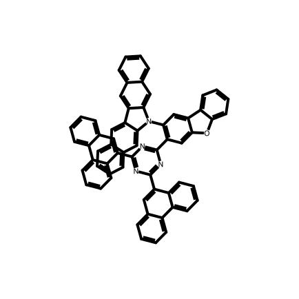 c1ccc2cc3c(cc2c1)c1cc2ccccc2cc1n3-c1cc2c(cc1-c1nc(-c3cc4ccccc4c4ccccc34)nc(-c3cc4ccccc4c4ccccc34)n1)oc1ccccc12